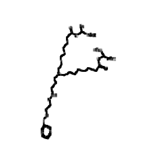 CCCCCCCCC(CC)OC(=O)CCCCCCCN(CCCCCCCC(=O)OC(CCCCCCCC)CCCCCCCC)CCCNSCCOCc1ccccc1